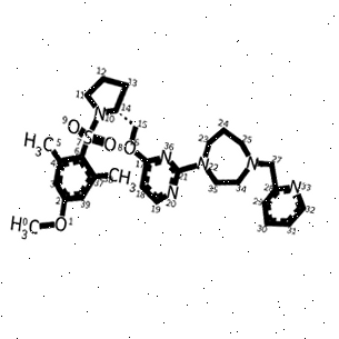 COc1cc(C)c(S(=O)(=O)N2CCC[C@@H]2COc2ccnc(N3CCCN(Cc4ccccn4)CC3)n2)c(C)c1